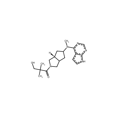 CN(c1ncnc2[nH]ccc12)C1CC2CN(C(=O)C(C)(C)CO)C[C@@H]2C1